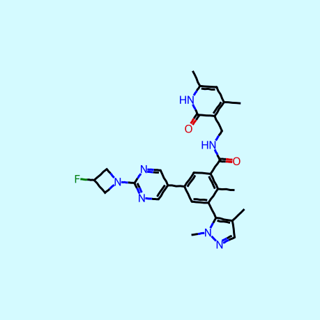 Cc1cc(C)c(CNC(=O)c2cc(-c3cnc(N4CC(F)C4)nc3)cc(-c3c(C)cnn3C)c2C)c(=O)[nH]1